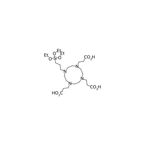 CCO[Si](CCCN1CCN(CCC(=O)O)CCN(CCC(=O)O)CCN(CCC(=O)O)CC1)(OCC)OCC